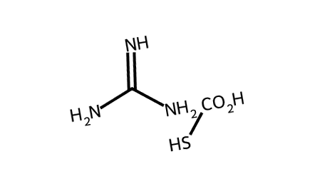 N=C(N)N.O=C(O)S